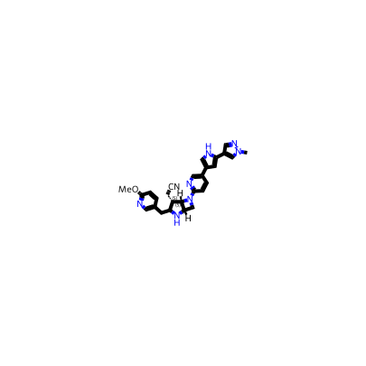 COc1ccc(CC2N[C@H]3CN(c4ccc(-c5c[nH]c(-c6cnn(C)c6)c5)cn4)[C@H]3[C@H]2CC#N)cn1